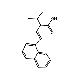 CC(C)C(C=Cc1cccc2ccccc12)C(=O)O